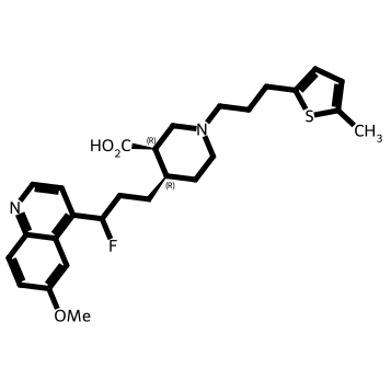 COc1ccc2nccc(C(F)CC[C@@H]3CCN(CCCc4ccc(C)s4)C[C@@H]3C(=O)O)c2c1